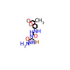 Cc1cc(=O)oc2cc(NCC(=O)NC(CS)C(=O)NN)ccc12